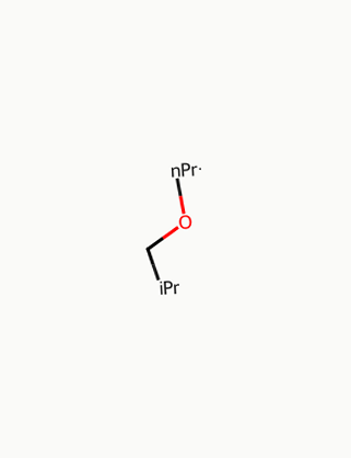 CC[CH]OCC(C)C